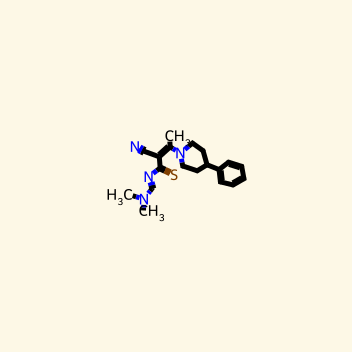 CC(=C(C#N)C(=S)N=CN(C)C)N1CCC(c2ccccc2)CC1